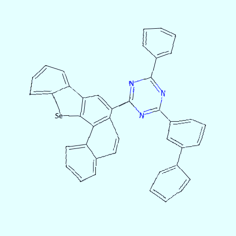 c1ccc(-c2cccc(-c3nc(-c4ccccc4)nc(-c4cc5c6ccccc6[se]c5c5c4ccc4ccccc45)n3)c2)cc1